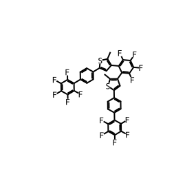 Cc1sc(-c2ccc(-c3c(F)c(F)c(F)c(F)c3F)cc2)cc1-c1c(F)c(F)c(F)c(F)c1-c1cc(-c2ccc(-c3c(F)c(F)c(F)c(F)c3F)cc2)sc1C